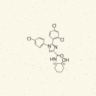 O=C(N[C@H]1CCCC[C@@H]1O)c1cn(-c2ccc(Cl)cc2)c(-c2ccc(Cl)cc2Cl)n1